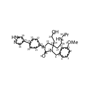 COc1cccc(CN2C(=O)N(c3ccc(-c4cn[nH]c4)cc3)CC2(CCO)CCNC(C)C)c1